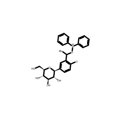 CC(C)(C)C(O[SiH](c1ccccc1)c1ccccc1)c1cc([C@@H]2O[C@H](CO)[C@@H](O)[C@H](O)[C@H]2O)ccc1Cl